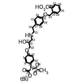 CC(C)(C)OC(=O)N(c1ccc(OC[C@@H](O)CNCCc2ccc(OCc3ccccc3C(=O)O)cc2)cc1)S(C)(=O)=O